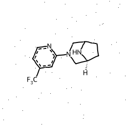 FC(F)(F)c1ccnc(N2CC3CC[C@@H](C2)N3)c1